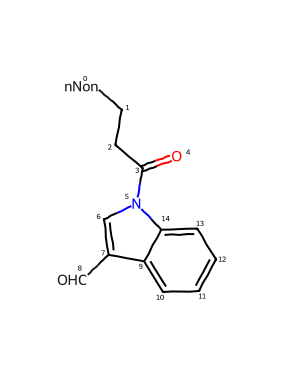 CCCCCCCCCCCC(=O)n1cc(C=O)c2ccccc21